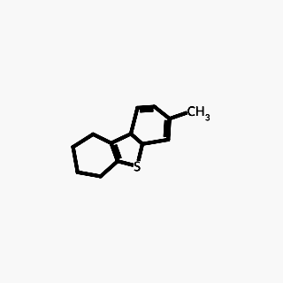 CC1=CC2SC3=C(CCCC3)C2C=C1